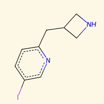 Ic1ccc(CC2CNC2)nc1